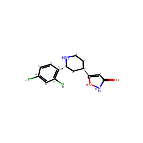 O=c1cc([C@H]2CCN[C@@H](c3ccc(F)cc3Cl)C2)o[nH]1